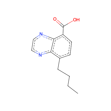 CCCCc1ccc(C(=O)O)c2nccnc12